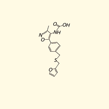 Cc1noc(-c2ccc(CSCc3ccco3)cc2)c1NC(=O)O